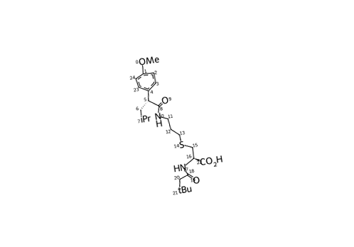 COc1ccc([C@@H](CC(C)C)C(=O)NCCCSC[C@H](NC(=O)CC(C)(C)C)C(=O)O)cc1